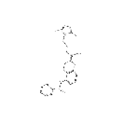 CCCN(CCCn1c(C)ccc1C)C1CCc2c(cccc2OC(=O)c2ccccc2)C1